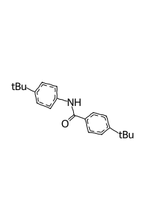 CC(C)(C)c1ccc(NC(=O)c2ccc(C(C)(C)C)cc2)cc1